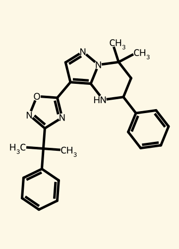 CC(C)(c1ccccc1)c1noc(-c2cnn3c2NC(c2ccccc2)CC3(C)C)n1